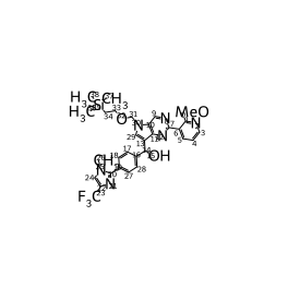 COc1ncccc1-c1ncc2c(n1)c(C(O)c1ccc(-c3nc(C(F)(F)F)cn3C)cc1)cn2COCC[Si](C)(C)C